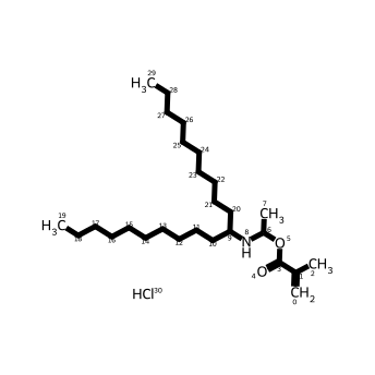 C=C(C)C(=O)OC(C)NC(CCCCCCCCCC)CCCCCCCCCC.Cl